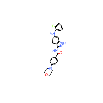 O=C(Nc1n[nH]c2cc(Nc3ccccc3F)ccc12)c1ccc(N2CCOCC2)cc1